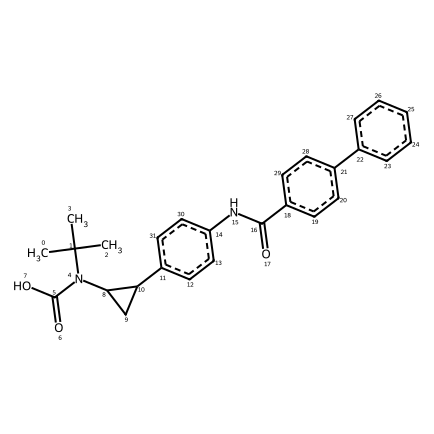 CC(C)(C)N(C(=O)O)C1CC1c1ccc(NC(=O)c2ccc(-c3ccccc3)cc2)cc1